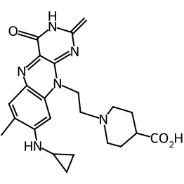 C=c1nc2c(c(=O)[nH]1)=Nc1cc(C)c(NC3CC3)cc1N2CCN1CCC(C(=O)O)CC1